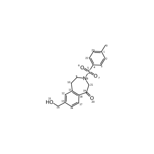 Cc1ccc(S(=O)(=O)N2CCc3cc(CO)ccc3C(=O)C2)cc1